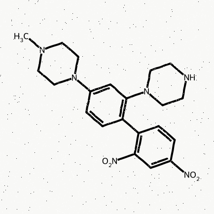 CN1CCN(c2ccc(-c3ccc([N+](=O)[O-])cc3[N+](=O)[O-])c(N3CCNCC3)c2)CC1